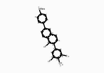 CCCCCCc1ccc(-c2ccc3c(F)c(-c4cc(F)c(C(F)(F)F)c(F)c4)ccc3c2)cc1